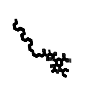 CC/C=C\C/C=C\C/C=C\C/C=C\C/C=C\C/C=C\CCC(=O)N[C@@H](C)C(=O)NC1CC(C(=O)O)=CC(OC(CC)CC)C1NC(C)=O